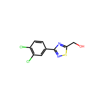 OCc1nc(-c2ccc(Cl)c(Cl)c2)ns1